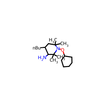 CCCCC1CC(C)(C)N(OC2CCCCC2)C(C)(C)C1N